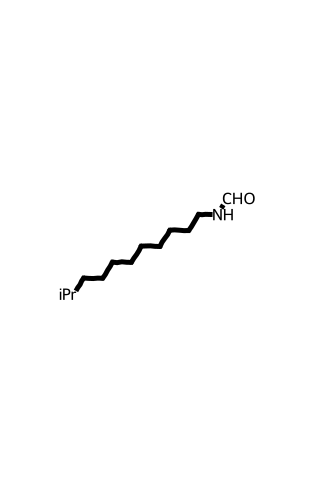 CC(C)CCCCCCCCCNC=O